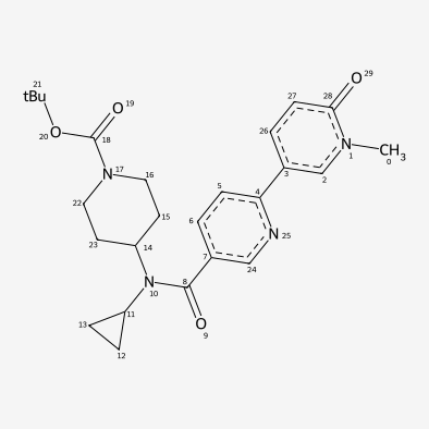 Cn1cc(-c2ccc(C(=O)N(C3CC3)C3CCN(C(=O)OC(C)(C)C)CC3)cn2)ccc1=O